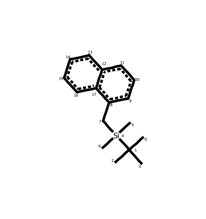 CC(C)(C)[Si](C)(C)Cc1cccc2ccccc12